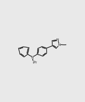 CC(C)N(c1ccccc1)c1ccc(-c2cnn(C)c2)cc1